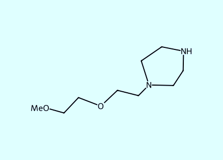 COCCOCCN1CCNCC1